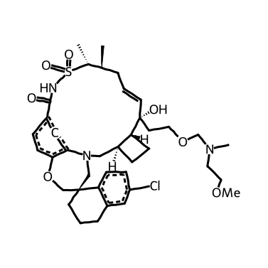 COCCN(C)COCC[C@]1(O)/C=C/C[C@H](C)[C@@H](C)S(=O)(=O)NC(=O)c2ccc3c(c2)N(C[C@@H]2CC[C@H]21)C[C@@]1(CCCc2cc(Cl)ccc21)CO3